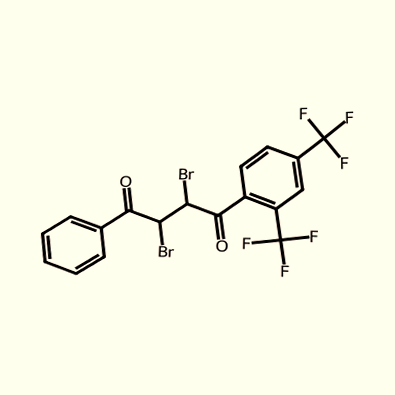 O=C(c1ccccc1)C(Br)C(Br)C(=O)c1ccc(C(F)(F)F)cc1C(F)(F)F